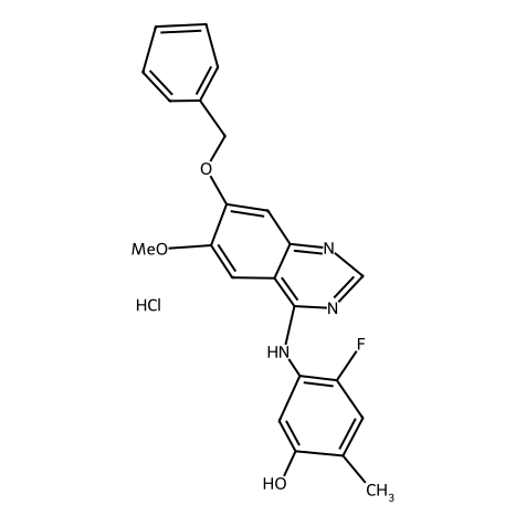 COc1cc2c(Nc3cc(O)c(C)cc3F)ncnc2cc1OCc1ccccc1.Cl